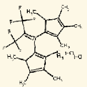 CC1=C(C)C(C)[C]([Zr]([C]2=C(C)C(C)=C(C)C2C)=[C](C(F)(F)F)C(F)(F)F)=C1C.Cl.Cl